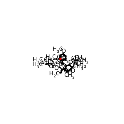 C=C[C@@H](COCOCC[Si](C)(C)C)[C@@H](O)[C@H](CO[Si](C)(C)C(C)(C)C)[C@H](O[Si](C)(C)C(C)(C)C)C1(C)O[C@@H]1[C@@H](C)COCc1ccc(OC)cc1